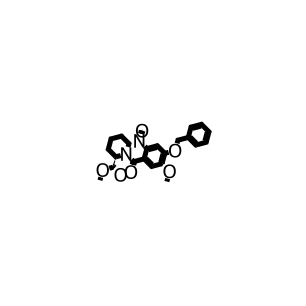 COC(=O)[C@@H]1CCCCN1C(=O)c1cc(OC)c(OCc2ccccc2)cc1N=O